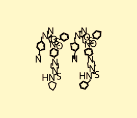 N#Cc1ccc(Cn2cncc2CN(c2ccc(N3CCN(C(=S)NC4CCCCC4)CC3)cc2)S(=O)(=O)c2ccccc2)cc1.N#Cc1ccc(Cn2cncc2CN(c2ccc(N3CCN(C(=S)NCc4ccccc4)CC3)cc2)S(=O)(=O)c2ccccc2)cc1